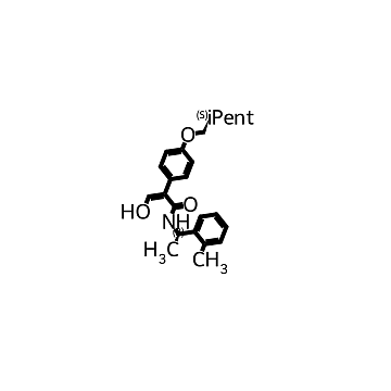 CCC[C@H](C)COc1ccc(C(=CO)C(=O)N[C@H](C)c2ccccc2C)cc1